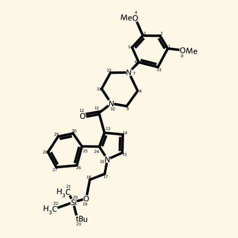 COc1cc(OC)cc(N2CCN(C(=O)c3ccn(CCO[Si](C)(C)C(C)(C)C)c3-c3ccccc3)CC2)c1